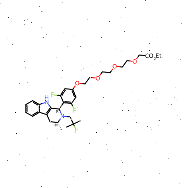 CCOC(=O)COCCOCCOCCOc1cc(F)c([C@@H]2c3[nH]c4ccccc4c3C[C@@H](C)N2CC(C)(C)F)c(F)c1